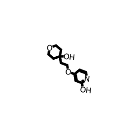 Oc1cc(OCCC2(O)CCOCC2)ccn1